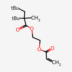 C=CC(=O)OCCOC(=O)C(C)(CC(C)(C)C)C(C)(C)C